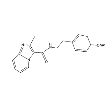 COC1C=CC(CCNC(=O)c2c(C)nc3ccccn23)=CC1